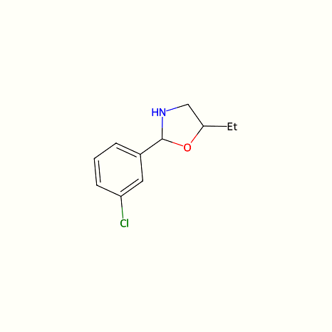 CCC1CNC(c2cccc(Cl)c2)O1